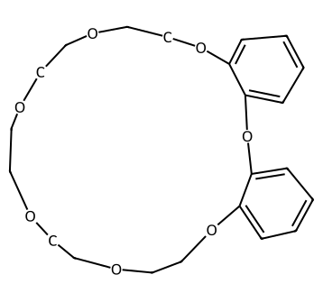 c1ccc2c(c1)OCCOCCOCCOCCOCCOc1ccccc1O2